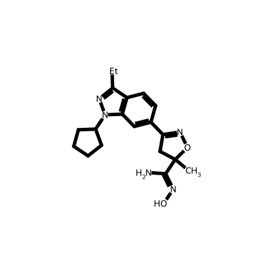 CCc1nn(C2CCCC2)c2cc(C3=NOC(C)(/C(N)=N/O)C3)ccc12